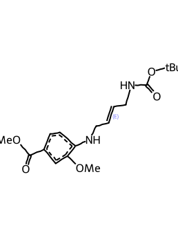 COC(=O)c1ccc(NC/C=C/CNC(=O)OC(C)(C)C)c(OC)c1